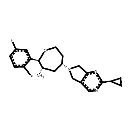 N[C@H]1C[C@@H](N2Cc3cnc(C4CC4)nc3C2)CCO[C@@H]1c1cc(F)ccc1F